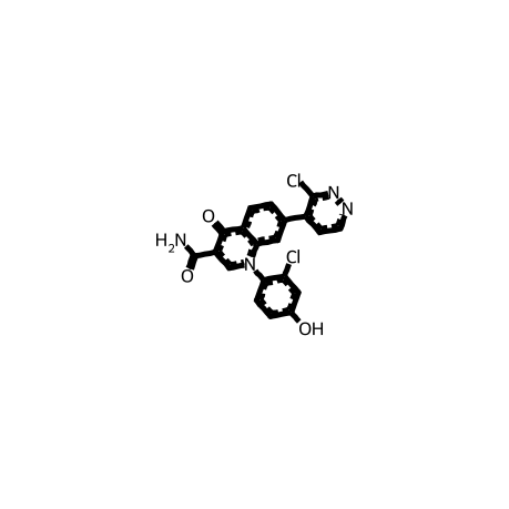 NC(=O)c1cn(-c2ccc(O)cc2Cl)c2cc(-c3ccnnc3Cl)ccc2c1=O